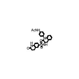 CC(=O)Nc1ccc(NC(=O)C(Cc2ccccc2)NS(=O)(=O)c2ccc3c(c2)CCC(=O)N3)cc1